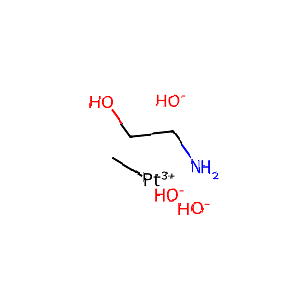 NCCO.[CH3][Pt+3].[OH-].[OH-].[OH-]